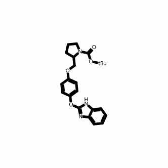 CC(C)(C)OC(=O)N1CCCC1COc1ccc(Oc2nc3ccccc3[nH]2)cc1